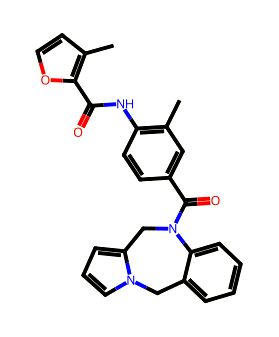 Cc1cc(C(=O)N2Cc3cccn3Cc3ccccc32)ccc1NC(=O)c1occc1C